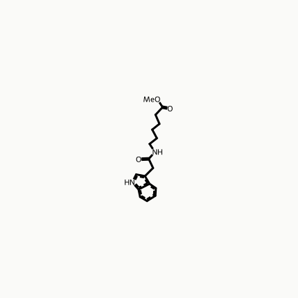 COC(=O)CCCCCNC(=O)Cc1c[nH]c2ccccc12